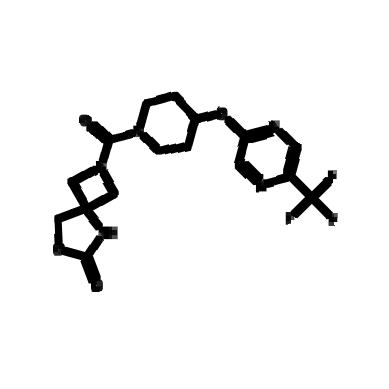 O=C1NC2(CO1)CN(C(=O)N1CCC(Oc3cnc(C(F)(F)F)cn3)CC1)C2